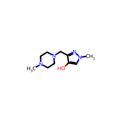 CN1CCN(Cc2nn(C)cc2O)CC1